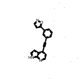 C(#Cc1ccnc2[nH]ccc12)c1cccc(-c2ccno2)c1